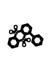 O=S1(=O)c2ccccc2S(=O)(=O)c2c(-c3ccccc3)cccc21